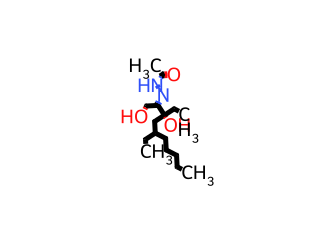 CCCCCC(CC)CC(O)(CC)/C(CO)=N/NC(C)=O